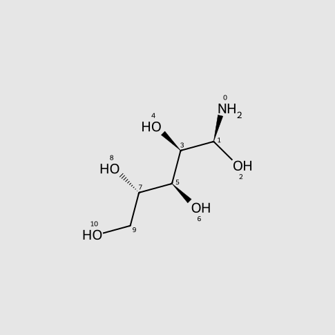 N[C@@H](O)[C@H](O)[C@@H](O)[C@@H](O)CO